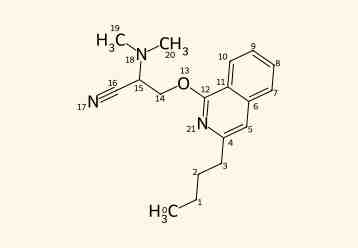 CCCCc1cc2ccccc2c(OCC(C#N)N(C)C)n1